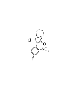 O=c1c(-c2ccc(F)cc2[N+](=O)[O-])c(Cl)n2n1CCCC2